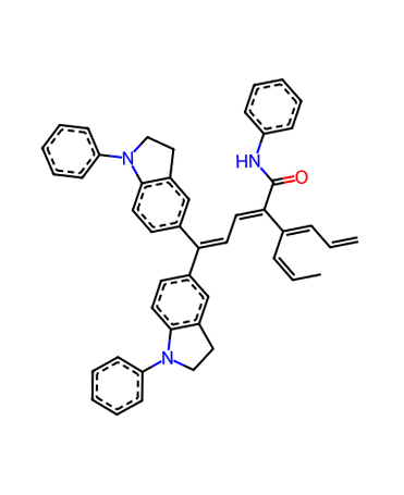 C=C/C=C(\C=C/C)C(=C\C=C(c1ccc2c(c1)CCN2c1ccccc1)c1ccc2c(c1)CCN2c1ccccc1)/C(=O)Nc1ccccc1